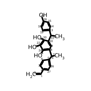 C=Cc1ccc(C(C)c2cc(C(C)c3ccc(O)cc3)c(O)c(O)c2O)cc1